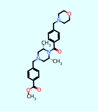 COC(=O)c1ccc(CN2C[C@@H](C)N(C(=O)c3ccc(CN4CCOCC4)cc3)[C@@H](C)C2)cc1